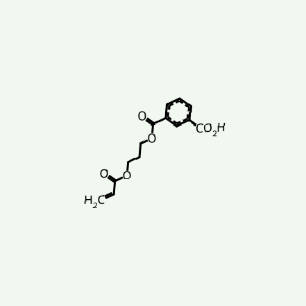 C=CC(=O)OCCCOC(=O)c1cccc(C(=O)O)c1